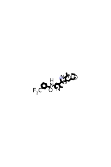 C=C(/C=N\C1=C(C)N2CCOCC2CC1=O)c1cc(NC(=O)c2cccc(C(F)(F)F)c2)cnc1C